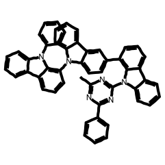 Cc1nc(-c2ccccc2)nc(-n2c3ccccc3c3cccc(-c4ccc5c(c4)c4ccccc4n5-c4cccc5c6ccccc6n(-c6ccccc6)c45)c32)n1